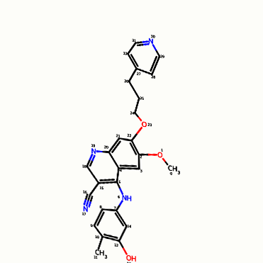 COc1cc2c(Nc3ccc(C)c(O)c3)c(C#N)cnc2cc1OCCCc1ccncc1